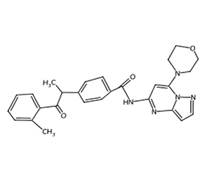 Cc1ccccc1C(=O)C(C)c1ccc(C(=O)Nc2cc(N3CCOCC3)n3nccc3n2)cc1